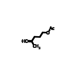 [CH]=C(C)CCCOC(C)=O